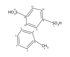 Cc1ccccc1.O=S(=O)(O)c1ccc(S(=O)(=O)O)cc1